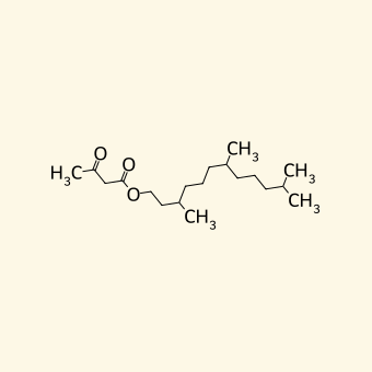 CC(=O)CC(=O)OCCC(C)CCCC(C)CCCC(C)C